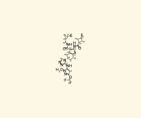 Cn1nc(OC(F)F)cc1Nc1nncn1[C@H]1CCc2sc(NC(=O)C3CC(F)C3)c(C(=O)NC[C@H]3C[C@H]3F)c2C1